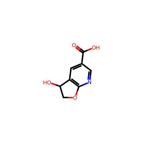 O=C(O)c1cnc2c(c1)C(O)CO2